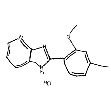 COc1cc(C)ccc1-c1nc2ncccc2[nH]1.Cl